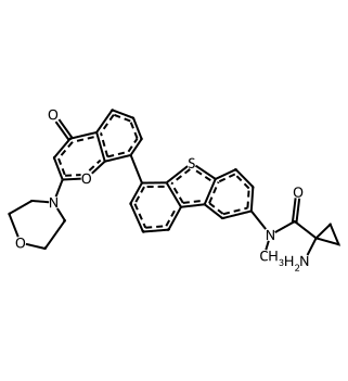 CN(C(=O)C1(N)CC1)c1ccc2sc3c(-c4cccc5c(=O)cc(N6CCOCC6)oc45)cccc3c2c1